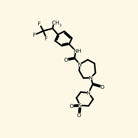 CC(c1ccc(NC(=O)N2CCCN(C(=O)N3CCS(=O)(=O)CC3)CC2)cc1)C(F)(F)F